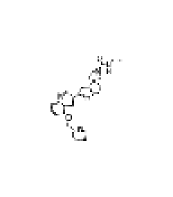 CCNC(=O)N1CCC2(CCn3nc(-c4cnc5cccc(OCc6ccccn6)c5c4)cc32)C1